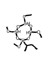 CCC(C)[Si]1(OC)O[SiH](OC)O[SiH](OC)O[SiH](OC)O1